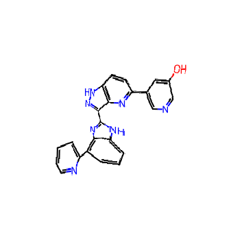 Oc1cncc(-c2ccc3[nH]nc(-c4nc5c(-c6ccccn6)cccc5[nH]4)c3n2)c1